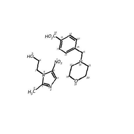 Cc1ncc([N+](=O)[O-])n1CCO.O=C(O)c1ccc(CN2CCOCC2)cc1